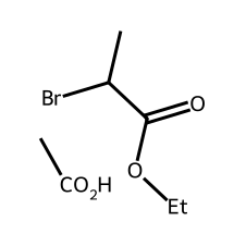 CC(=O)O.CCOC(=O)C(C)Br